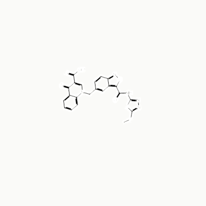 CSc1nnc(NC(=O)c2onc3ccc(Cn4cc(C(=O)O)c(=O)c5ccccc54)cc23)s1